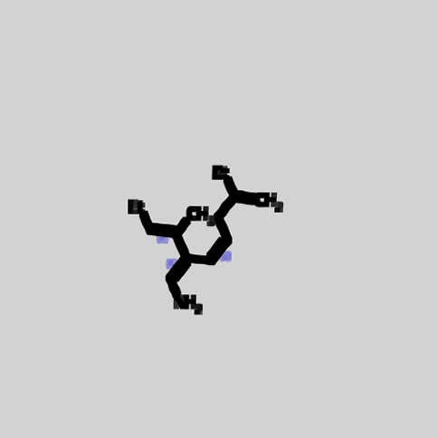 C=C(CC)C\C=C/C(=C\N)C(/C)=C/CC